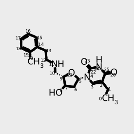 CCc1cn([C@@H]2CC(O)[C@H](CNCCc3ccccc3C)O2)c(=O)[nH]c1=O